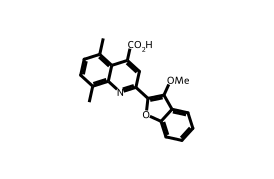 COc1c(-c2cc(C(=O)O)c3c(C)ccc(C)c3n2)oc2ccccc12